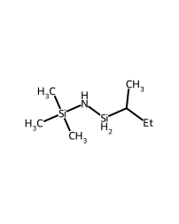 CCC(C)[SiH2]N[Si](C)(C)C